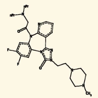 CCCN(CCC)CC(=O)N1c2cc(F)c(F)cc2-n2c(nn(CCN3CCN(C)CC3)c2=O)-c2cccnc21